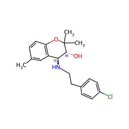 Cc1ccc2c(c1)[C@H](NCCc1ccc(Cl)cc1)[C@@H](O)C(C)(C)O2